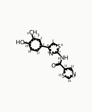 Cc1cc(-c2csc(NC(=O)c3cncs3)n2)ccc1O